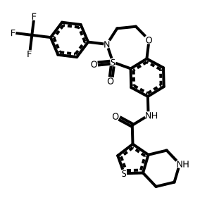 O=C(Nc1ccc2c(c1)S(=O)(=O)N(c1ccc(C(F)(F)F)cc1)CCO2)c1csc2c1CNCC2